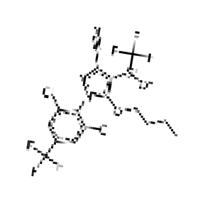 CCCCOc1c([S+]([O-])C(F)(F)F)c(C#N)nn1-c1c(Cl)cc(C(F)(F)F)cc1Cl